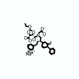 CCO[C@H]1O[C@H](C(=O)[O-])[C@@H](C(=O)N(CC(=O)[O-])[C@H](C)[C@H](CCc2ccccc2)c2ccc(-c3ccccc3)c(F)c2)O1.[Na+].[Na+]